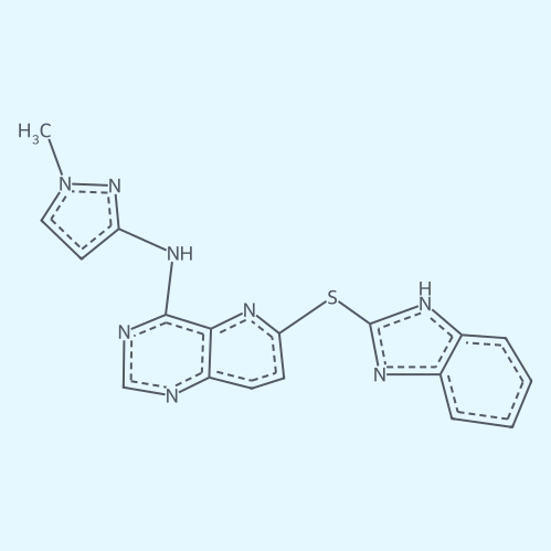 Cn1ccc(Nc2ncnc3ccc(Sc4nc5ccccc5[nH]4)nc23)n1